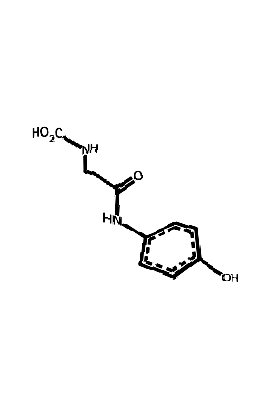 O=C(O)NCC(=O)Nc1ccc(O)cc1